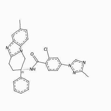 Cc1ccc2c(c1)nc1n2C[C@@](NC(=O)c2ccc(-n3cnc(C)n3)cc2Cl)(c2ccccc2)CC1